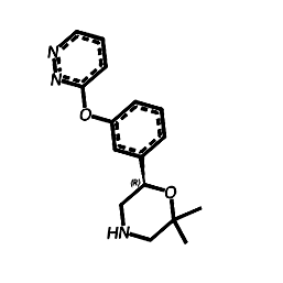 CC1(C)CNC[C@@H](c2cccc(Oc3cccnn3)c2)O1